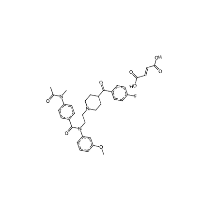 COc1cccc(N(CCN2CCC(C(=O)c3ccc(F)cc3)CC2)C(=O)c2ccc(N(C)C(C)=O)cc2)c1.O=C(O)C=CC(=O)O